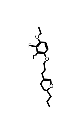 CCCC1CCC(CCCOc2ccc(OCC)c(F)c2F)=CO1